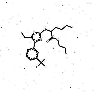 CCCCC(Sc1nc(CC)n(-c2cccc(C(F)(F)F)c2)n1)C(=O)OCCC